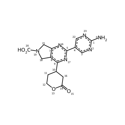 Nc1ncc(-c2nc3c(c(C4CCOC(=O)C4)n2)CN(C(=O)O)C3)cn1